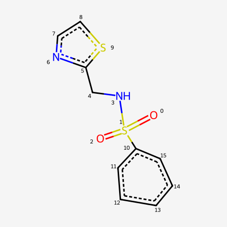 O=S(=O)(NCc1nccs1)c1ccccc1